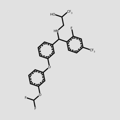 OC(CNC(c1cccc(Oc2cccc(OC(F)F)c2)c1)c1ccc(C(F)(F)F)cc1F)C(F)(F)F